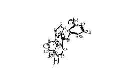 CC12C(N3CCCC3)COC[C@@H]1NCCN2C(=O)Cc1cccc(Cl)c1